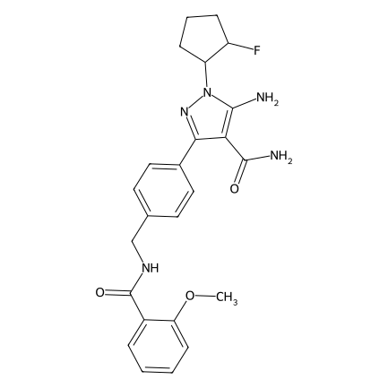 COc1ccccc1C(=O)NCc1ccc(-c2nn(C3CCCC3F)c(N)c2C(N)=O)cc1